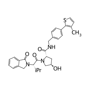 Cc1ccsc1-c1ccc(CNC(=O)[C@@H]2C[C@@H](O)CN2C(=O)[C@H](C(C)C)N2Cc3ccccc3C2=O)cc1